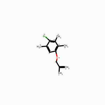 C=C(C)COc1cc(C)c(Br)c(C)c1C